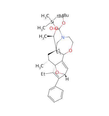 CCC1=C(c2ccccc2)[C@H]2C=C3[C@@]1(O2)[C@H](C)C[C@@]12CN(C(=O)OC(C)(C)C)CCO[C@@]31CC=C2[C@@H](C)O[Si](C)(C)C(C)(C)C